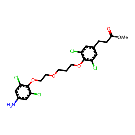 COC(=O)CCc1cc(Cl)c(OCCCOCCOc2c(Cl)cc(N)cc2Cl)c(Cl)c1